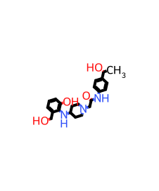 CC(O)c1ccc(NC(=O)CN2CCC(Nc3c(O)cccc3CO)CC2)cc1